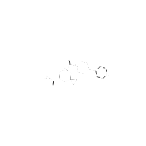 C[N+]1(C(=O)N2CCC(c3ccncc3)CC2)C[C@@H](C(=O)NO)CC2(CC2)C1